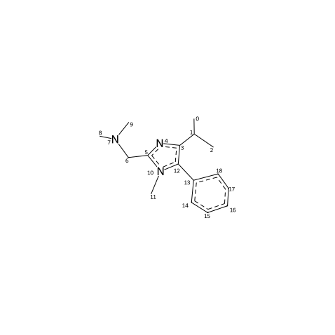 CC(C)c1nc(CN(C)C)n(C)c1-c1ccccc1